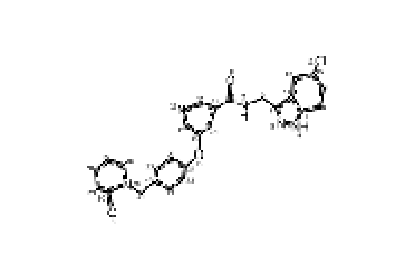 O=C(NCc1n[nH]c2ccc(Cl)cc12)c1cncc(Oc2ccc(Cn3ccccc3=O)cc2)c1